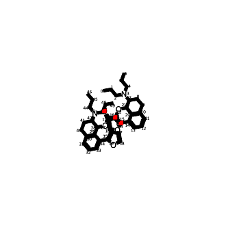 CCCN(CCC)C1CCc2cccc(-c3ccco3)c2C1OC(=O)C(=O)OC1c2c(cccc2-c2ccco2)CCC1N(CCC)CCC